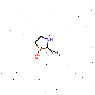 CC1NCC[S+]1[O-]